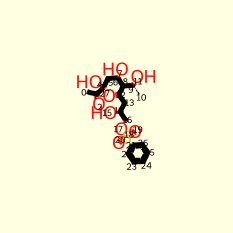 CC(=O)C1(O)CC(O)C([C@@H](C)O)C(C[C@H](O)COS(=O)(=O)c2ccccc2)O1